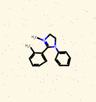 Cc1ccccc1C1=[N+](C)CCN1c1ccccc1